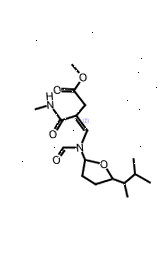 CNC(=O)/C(=C\N(C=O)C1CCC(C(C)C(C)C)O1)CC(=O)OC